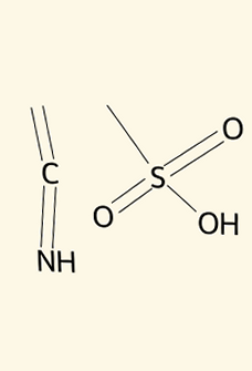 C=C=N.CS(=O)(=O)O